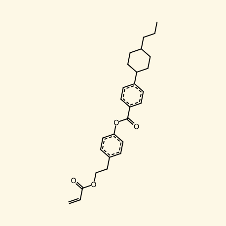 C=CC(=O)OCCc1ccc(OC(=O)c2ccc(C3CCC(CCC)CC3)cc2)cc1